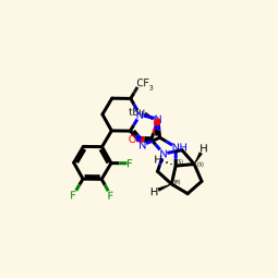 CC(C)(C)OC(=O)N1C[C@H]2CC[C@@H](C1)[C@@H]2Nc1nc2n(n1)C(C(F)(F)F)CCC2c1ccc(F)c(F)c1F